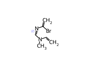 C=CN(C)/C=N\C(=C)Br